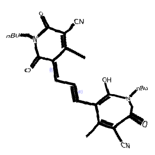 CCCCN1C(=O)C(C#N)=C(C)/C(=C\C=C\c2c(C)c(C#N)c(=O)n(CCCC)c2O)C1=O